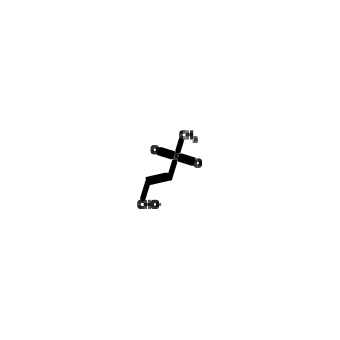 CS(=O)(=O)C=C[C]=O